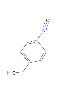 [C-]#[N+]c1ccc(CC)cc1